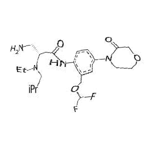 CCN(CC(C)C)[C@H](CN)C(=O)Nc1ccc(N2CCOCC2=O)cc1OC(F)F